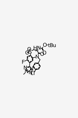 Cn1nnc(-c2cc3c(cc2F)S(=O)(=O)C[C@H](NC(=O)OC(C)(C)C)C(=O)N3Cc2ccc(Cl)cc2)n1